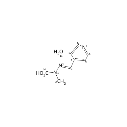 CN(N=Cc1ccncc1)C(=O)O.O